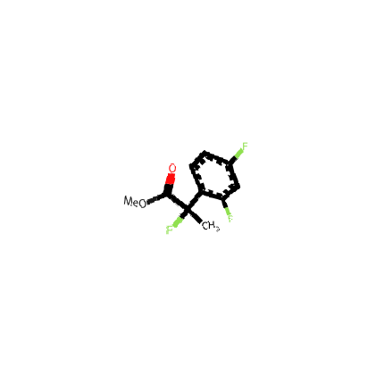 COC(=O)C(C)(F)c1ccc(F)cc1F